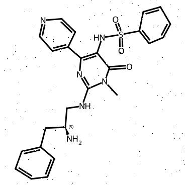 Cn1c(NC[C@@H](N)Cc2ccccc2)nc(-c2ccncc2)c(NS(=O)(=O)c2ccccc2)c1=O